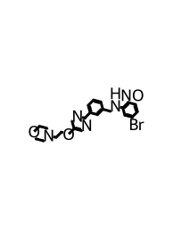 O=Nc1ccc(Br)cc1NCc1cccc(-c2ncc(OCCN3CCOCC3)cn2)c1